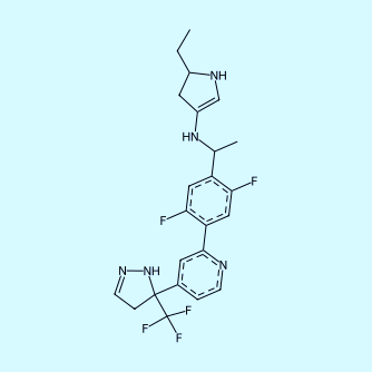 CCC1CC(NC(C)c2cc(F)c(-c3cc(C4(C(F)(F)F)CC=NN4)ccn3)cc2F)=CN1